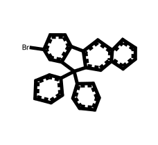 Brc1ccc2c(c1)C(c1ccccc1)(c1ccccc1)c1cc3ccccc3cc1-2